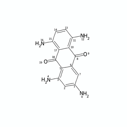 Nc1cc(N)c2c(c1)C(=O)c1c(N)ccc(N)c1C2=O